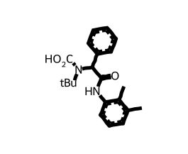 Cc1cccc(NC(=O)C(c2ccccc2)N(C(=O)O)C(C)(C)C)c1C